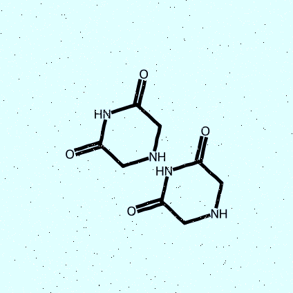 O=C1CNCC(=O)N1.O=C1CNCC(=O)N1